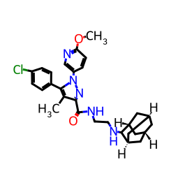 COc1ccc(-n2nc(C(=O)NCCNC3[C@H]4C[C@@H]5C[C@@H](C[C@H]3C5)C4)c(C)c2-c2ccc(Cl)cc2)cn1